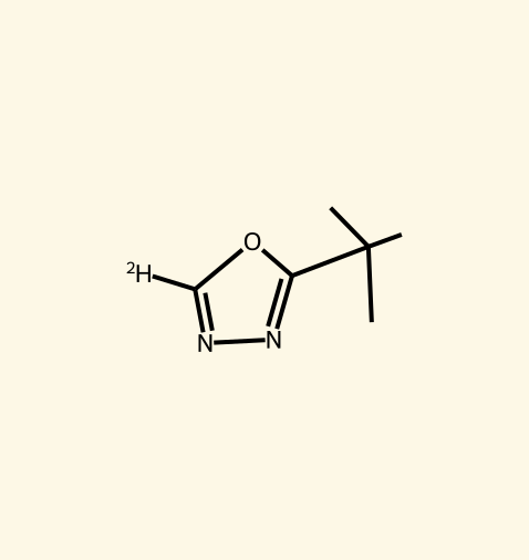 [2H]c1nnc(C(C)(C)C)o1